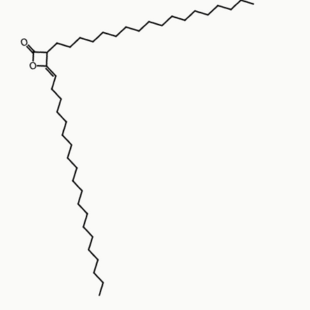 CCCCCCCCCCCCCCCCCCC/C=C1\OC(=O)C1CCCCCCCCCCCCCCCCCC